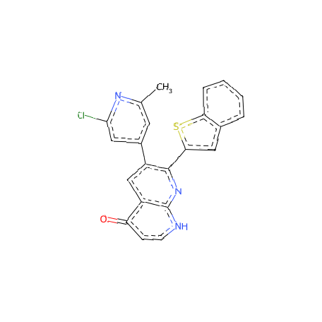 Cc1cc(-c2cc3c(=O)cc[nH]c3nc2-c2cc3ccccc3s2)cc(Cl)n1